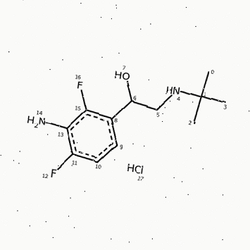 CC(C)(C)NCC(O)c1ccc(F)c(N)c1F.Cl